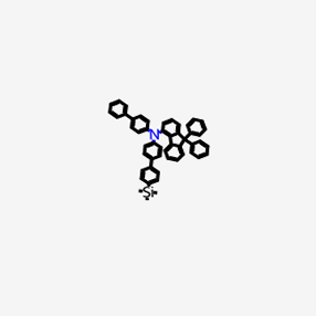 C[Si](C)(C)c1ccc(-c2ccc(N(c3ccc(-c4ccccc4)cc3)c3cccc4c3-c3ccccc3C4(c3ccccc3)c3ccccc3)cc2)cc1